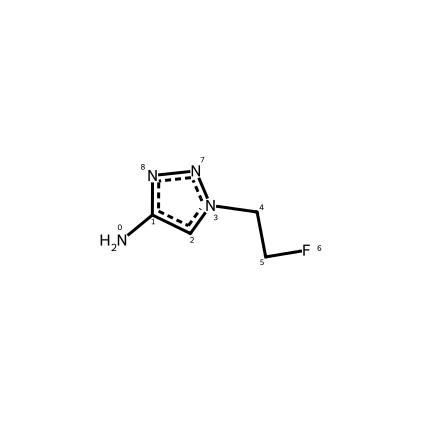 Nc1cn(CCF)nn1